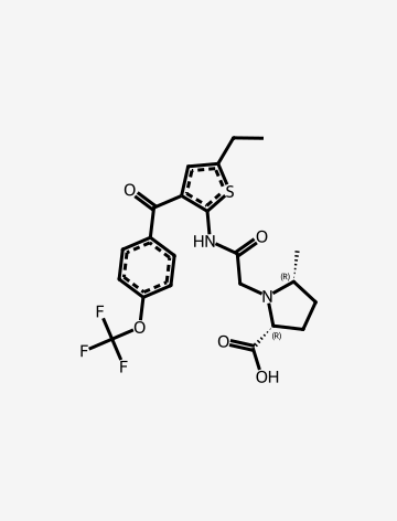 CCc1cc(C(=O)c2ccc(OC(F)(F)F)cc2)c(NC(=O)CN2[C@H](C)CC[C@@H]2C(=O)O)s1